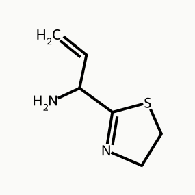 C=CC(N)C1=NCCS1